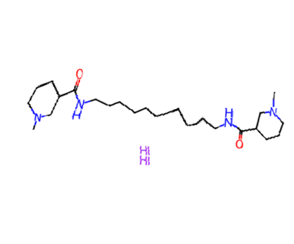 CN1CCCC(C(=O)NCCCCCCCCCCNC(=O)C2CCCN(C)C2)C1.I.I